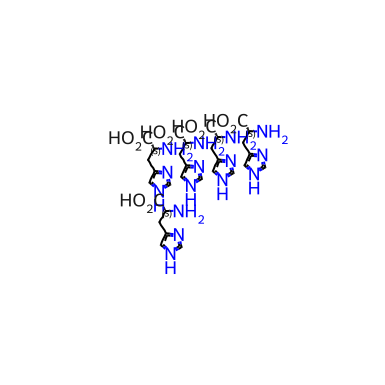 N[C@@H](Cc1c[nH]cn1)C(=O)O.N[C@@H](Cc1c[nH]cn1)C(=O)O.N[C@@H](Cc1c[nH]cn1)C(=O)O.N[C@@H](Cc1c[nH]cn1)C(=O)O.N[C@@H](Cc1c[nH]cn1)C(=O)O